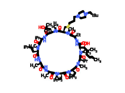 C/C=C/C[C@@H](C)[C@@H](O)[C@H]1C(=O)N[C@H](CC)C(=O)N(C)[C@H](CSCCCN2CCN(CC(C)(C)C)CC2)C(=O)N(C)[C@@H](CC(C)(C)O)C(=O)N[C@H](C(C)C)C(=O)N(C)[C@H](CCC(C)C)C(=O)N[C@H](C)C(=O)N[C@@H](C)C(=O)N(C)[C@@H](CC(C)C)C(=O)N(C)[C@H](CC(C)C)C(=O)N(C)[C@H](C(C)C)C(=O)N1C